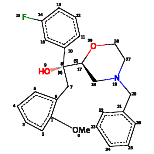 COc1ccccc1C[C@@](O)(c1cccc(F)c1)[C@@H]1CN(Cc2ccccc2)CCO1